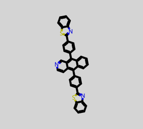 c1ccc2sc(-c3ccc(-c4c5ccccc5c(-c5ccc(-c6nc7ccccc7s6)cc5)c5cnccc45)cc3)nc2c1